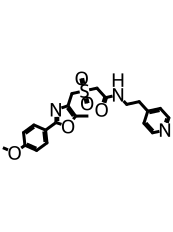 COc1ccc(-c2nc(CS(=O)(=O)CC(=O)NCCc3ccncc3)c(C)o2)cc1